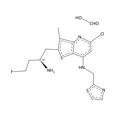 Cc1c(C[C@@H](N)CCF)sc2c(NCc3nccs3)cc(Cl)nc12.O=CO